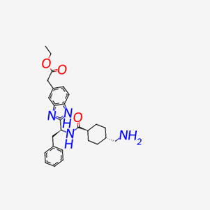 CCOC(=O)Cc1ccc2[nH]c([C@H](Cc3ccccc3)NC(=O)[C@H]3CC[C@H](CN)CC3)nc2c1